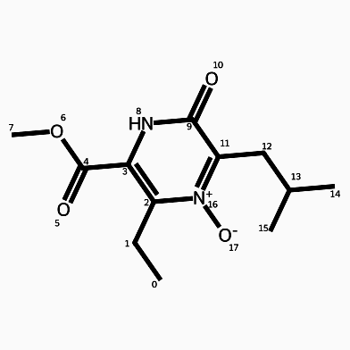 CCc1c(C(=O)OC)[nH]c(=O)c(CC(C)C)[n+]1[O-]